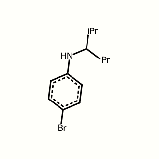 CC(C)C(Nc1ccc(Br)cc1)C(C)C